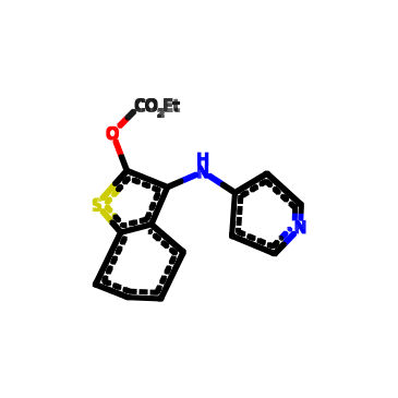 CCOC(=O)Oc1sc2ccccc2c1Nc1ccncc1